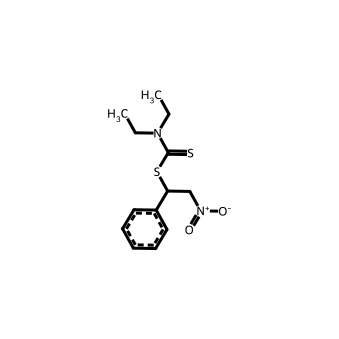 CCN(CC)C(=S)SC(C[N+](=O)[O-])c1ccccc1